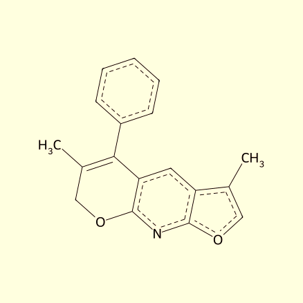 CC1=C(c2ccccc2)c2cc3c(C)coc3nc2OC1